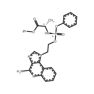 CC(C)OC(=O)[C@H](C)N[P@@](=O)(OCCn1cnc2c(N)nc3ccccc3c21)Oc1ccccc1